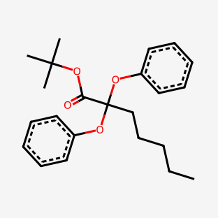 CCCCCC(Oc1ccccc1)(Oc1ccccc1)C(=O)OC(C)(C)C